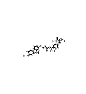 CS(=O)(=O)Nc1cccc(C(O)CNCCOc2ccc3c(c2)[nH]c2cc(N)ccc23)c1